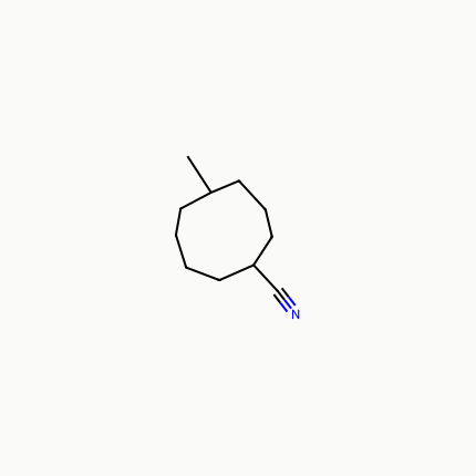 CC1CCCCC(C#N)CCC1